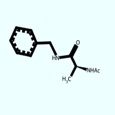 CC(=O)N[C@@H](C)C(=O)NCc1ccccc1